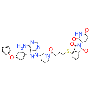 Nc1ncnc2c1c(-c1ccc(Oc3ccccc3)cc1)nn2C1CCCN(C(=O)CCCSc2cccc3c2C(=O)N(C2CCC(=O)NC2=O)C3=O)C1